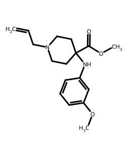 C=CCN1CCC(Nc2cccc(OC)c2)(C(=O)OC)CC1